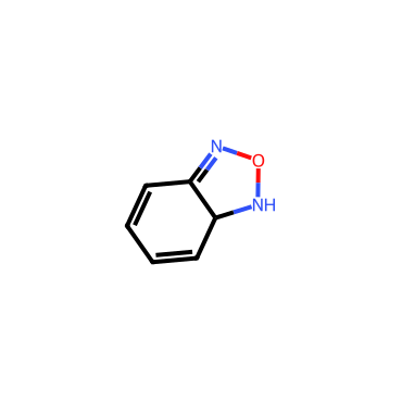 C1=CC2=NONC2C=C1